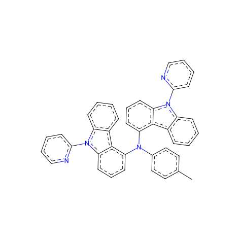 Cc1ccc(N(c2cccc3c2c2ccccc2n3-c2ccccn2)c2cccc3c2c2ccccc2n3-c2ccccn2)cc1